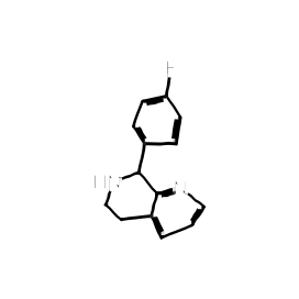 Fc1ccc(C2NCCc3cccnc32)cc1